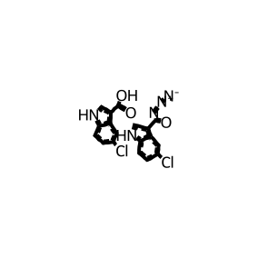 O=C(O)c1c[nH]c2ccc(Cl)cc12.[N-]=[N+]=NC(=O)c1c[nH]c2ccc(Cl)cc12